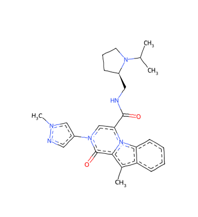 Cc1c2ccccc2n2c(C(=O)NC[C@H]3CCCN3C(C)C)cn(-c3cnn(C)c3)c(=O)c12